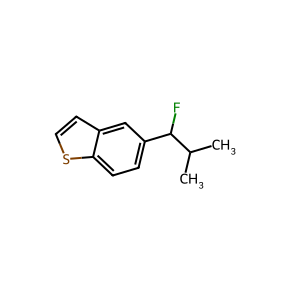 CC(C)C(F)c1ccc2sccc2c1